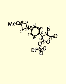 CCS(=O)(=O)OC1OC(=O)N(F)C1c1ccc(N2CC(OC)C2)cc1